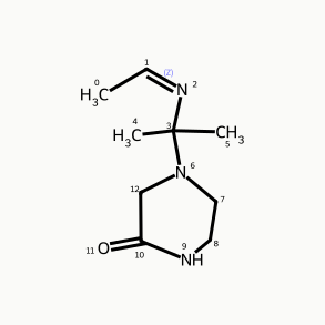 C/C=N\C(C)(C)N1CCNC(=O)C1